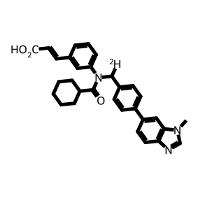 [2H]C(c1ccc(-c2ccc3ncn(C)c3c2)cc1)N(C(=O)C1CCCCC1)c1cccc(/C=C/C(=O)O)c1